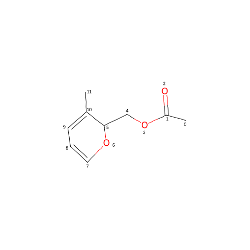 CC(=O)OCC1OC=CC=C1C